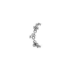 CCCc1cnc(N2CCC(C3Cc4cc(C5=CCN(S(=O)(=O)CC(C)C)CC5)cc(F)c4O3)CC2)nc1